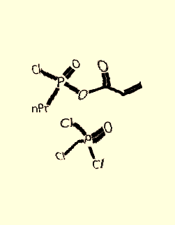 C=CC(=O)OP(=O)(Cl)CCC.O=P(Cl)(Cl)Cl